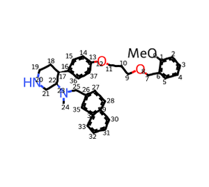 COc1ccccc1COCCCOc1ccc([C@@H]2CCNC[C@@H]2N(C)Cc2ccc3ccccc3c2)cc1